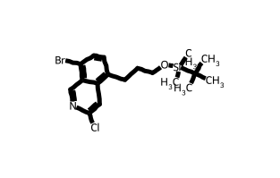 CC(C)(C)[Si](C)(C)OCCCc1ccc(Br)c2cnc(Cl)cc12